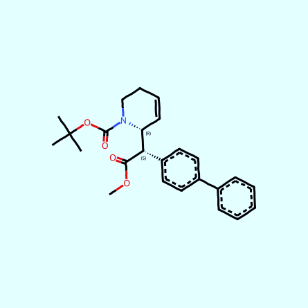 COC(=O)[C@@H](c1ccc(-c2ccccc2)cc1)[C@H]1C=CCCN1C(=O)OC(C)(C)C